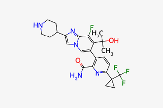 CC(C)(O)c1c(-c2ccc(C3(C(F)(F)F)CC3)nc2C(N)=O)cn2cc(C3CCNCC3)nc2c1F